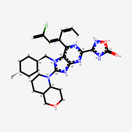 C=C(Cl)/C=C(\C=C/C)c1nc(-c2noc(=O)[nH]2)nc2nc(N3CCCC4COCCC43)n(C[C@H]3CC[C@H](C)CC3)c12